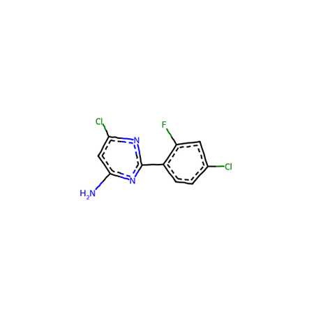 Nc1cc(Cl)nc(-c2ccc(Cl)cc2F)n1